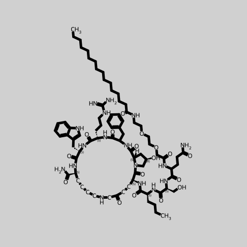 CCCCCCCCCCCCCCCC(=O)NCCOCCOCC(=O)NC(CCC(N)=O)C(=O)N[C@@H](CO)C(=O)N[C@@H](CCCC)C(=O)N[C@H]1CCC(=O)CNCCCC[C@@H](C(N)=O)NC(=O)[C@H](Cc2c[nH]c3ccccc23)NC(=O)[C@H](CCCNC(=N)N)NC(=O)C(Cc2ccccc2)NC(=O)[C@@H]2C[C@@H](O)CN2C1=O